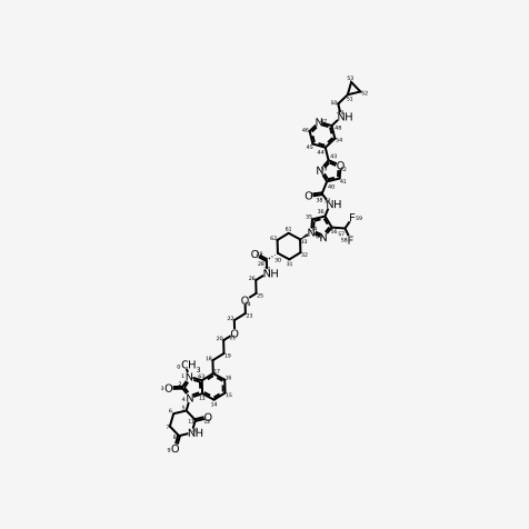 Cn1c(=O)n(C2CCC(=O)NC2=O)c2cccc(CCCOCCOCCNC(=O)[C@H]3CC[C@H](n4cc(NC(=O)c5coc(-c6ccnc(NCC7CC7)c6)n5)c(C(F)F)n4)CC3)c21